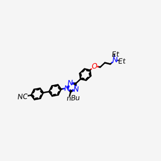 CCCCc1nc(-c2ccc(OCCCN(CC)CC)cc2)nn1-c1ccc(-c2ccc(C#N)cc2)cc1